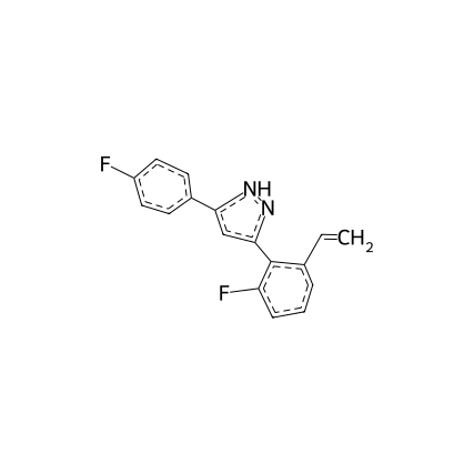 C=Cc1cccc(F)c1-c1cc(-c2ccc(F)cc2)[nH]n1